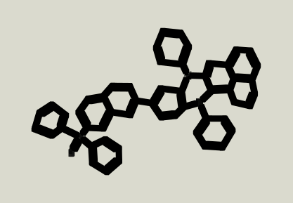 S=P(c1ccccc1)(c1ccccc1)c1ccc2ccc(-c3ccc4c(c3)N(c3ccccc3)c3cc5cccc6c5c(c3N4c3ccccc3)CC=C6)cc2c1